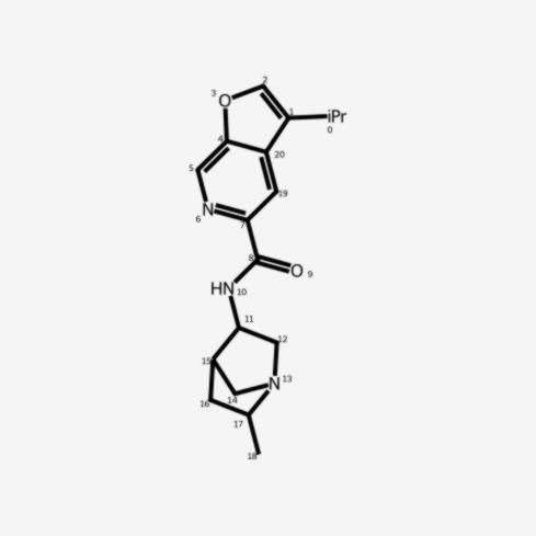 CC(C)c1coc2cnc(C(=O)NC3CN4CC3CC4C)cc12